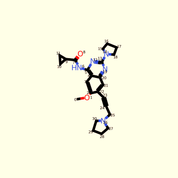 COc1cc2c(NC(=O)C3CC3)nc(N3CCCC3)nc2cc1C#CCN1CCCC1